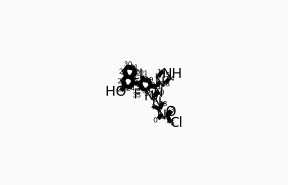 CN(C(=O)CCl)C1CN(c2nc(N3CCNCC3)c3cc(Cl)c(-c4cc(O)cc5ccccc45)c(F)c3n2)C1